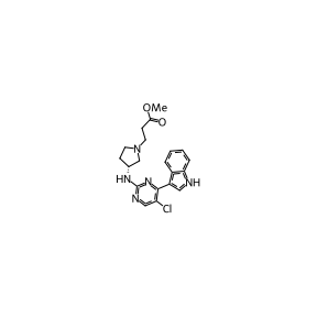 COC(=O)CCN1CC[C@@H](Nc2ncc(Cl)c(-c3c[nH]c4ccccc34)n2)C1